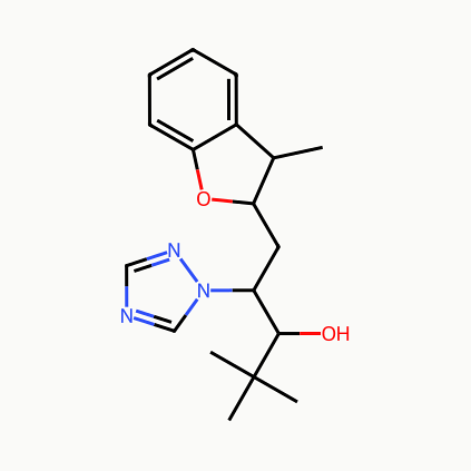 CC1c2ccccc2OC1CC(C(O)C(C)(C)C)n1cncn1